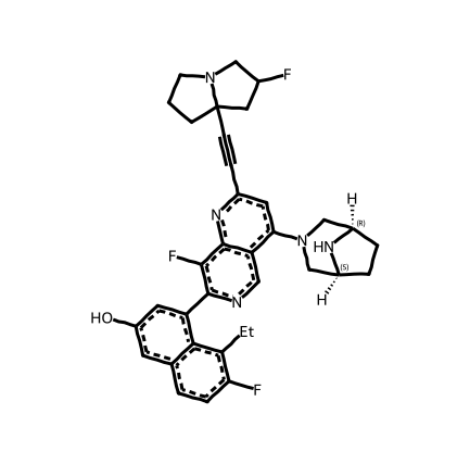 CCc1c(F)ccc2cc(O)cc(-c3ncc4c(N5C[C@H]6CC[C@@H](C5)N6)cc(C#CC56CCCN5CC(F)C6)nc4c3F)c12